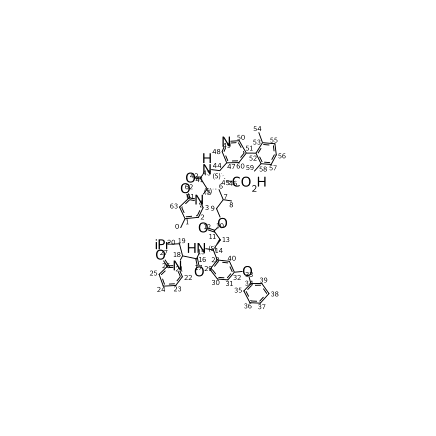 Cc1ccn([C@@H](CC(C)COC(=O)C[C@H](NC(=O)C(CC(C)C)n2ccccc2=O)c2cccc(Oc3ccccc3)c2)C(=O)N[C@@H](CC(=O)O)c2cncc(-c3c(C)cccc3C)c2)c(=O)c1